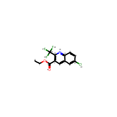 CCOC(=O)c1cc2cc(Cl)ccc2nc1C(F)(F)F